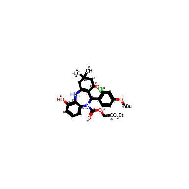 CCCCOc1ccc(C2C3=C(CC(C)(C)CC3=O)Nc3c(O)cccc3N2C(=O)OCC(=O)OCC)c(Cl)c1